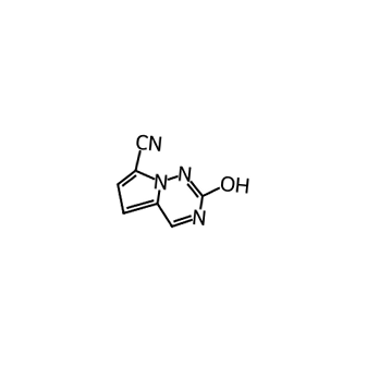 N#Cc1ccc2cnc(O)nn12